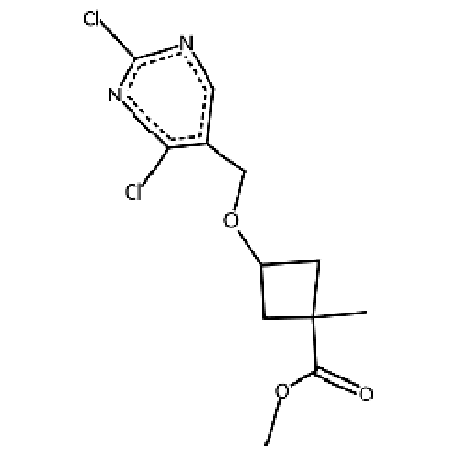 COC(=O)C1(C)CC(OCc2cnc(Cl)nc2Cl)C1